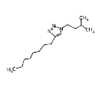 CCCCCCCCc1cn(CCC(C)C)nn1